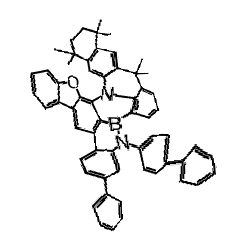 CC1(C)CCC(C)(C)c2cc3c(cc21)N1c2c(cccc2C3(C)C)B2c3c(cc4c(oc5ccccc54)c31)-c1ccc(-c3ccccc3)cc1N2c1ccc(-c2ccccc2)cc1